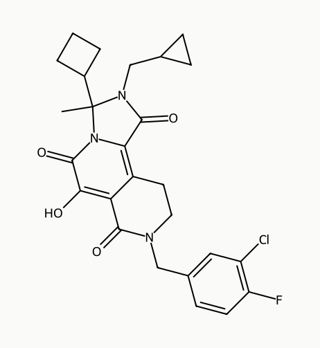 CC1(C2CCC2)N(CC2CC2)C(=O)c2c3c(c(O)c(=O)n21)C(=O)N(Cc1ccc(F)c(Cl)c1)CC3